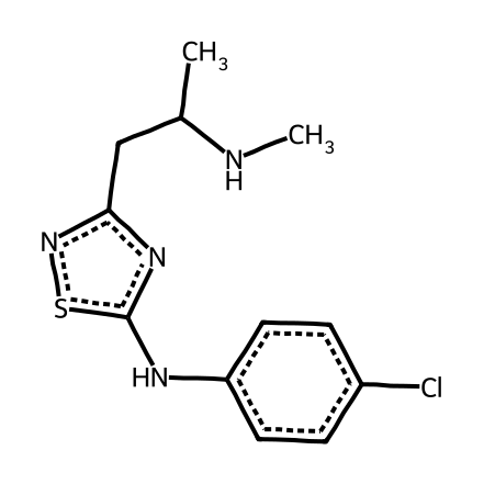 CNC(C)Cc1nsc(Nc2ccc(Cl)cc2)n1